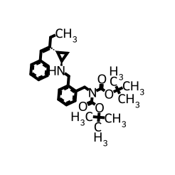 CCC(=Cc1ccccc1)[C@@H]1C[C@H]1NCc1ccccc1CN(C(=O)OC(C)(C)C)C(=O)OC(C)(C)C